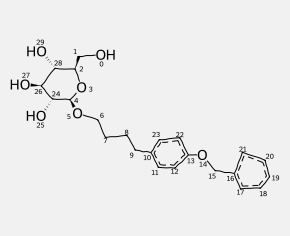 OC[C@H]1O[C@@H](OCCCCc2ccc(OCc3ccccc3)cc2)[C@H](O)[C@@H](O)[C@@H]1O